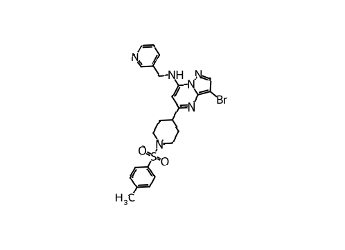 Cc1ccc(S(=O)(=O)N2CCC(c3cc(NCc4cccnc4)n4ncc(Br)c4n3)CC2)cc1